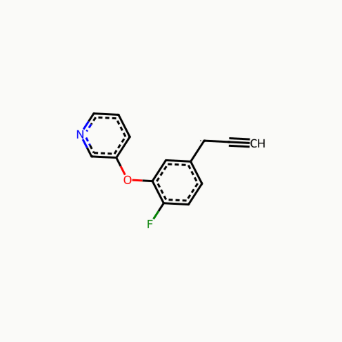 C#C[CH]c1ccc(F)c(Oc2cccnc2)c1